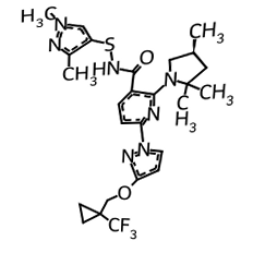 Cc1nn(C)cc1SNC(=O)c1ccc(-n2ccc(OCC3(C(F)(F)F)CC3)n2)nc1N1C[C@@H](C)CC1(C)C